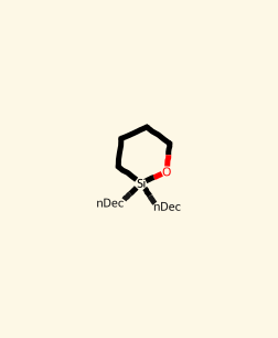 CCCCCCCCCC[Si]1(CCCCCCCCCC)CCCCO1